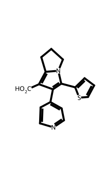 O=C(O)c1c(-c2ccncc2)c(-c2cccs2)n2c1CCC2